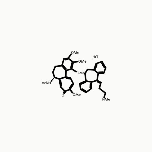 CNCCC=C1c2ccccc2CCc2ccccc21.COc1cc2c(c(OC)c1OC)-c1ccc(OC)c(=O)cc1[C@@H](NC(C)=O)CC2.Cl